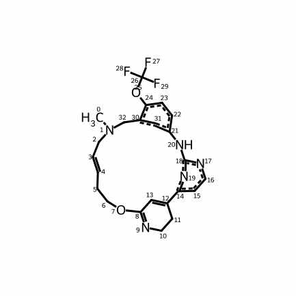 CN1C/C=C/CCOC2=NCCC(=C2)c2ccnc(n2)Nc2ccc(OC(F)(F)F)c(c2)C1